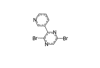 Brc1cnc(Br)c(-c2cccnc2)n1